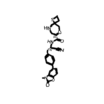 Cn1c(=O)oc2ccc(-c3ccc(C[C@@H](C#N)NC(=O)[C@@H]4CNCC5(CCS5)CO4)cc3)cc21